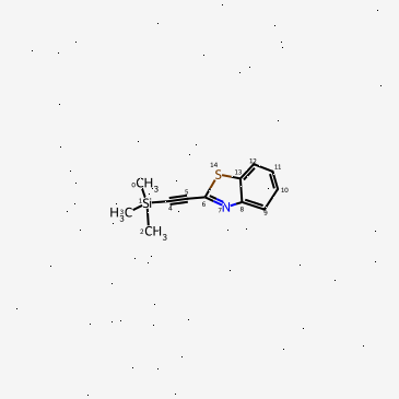 C[Si](C)(C)C#Cc1nc2ccccc2s1